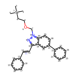 C[Si](C)(C)CCOCn1nc(/C=C/c2ccccc2)c2cc(-c3ccccc3)ccc21